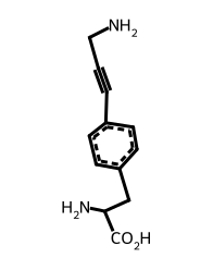 NCC#Cc1ccc(CC(N)C(=O)O)cc1